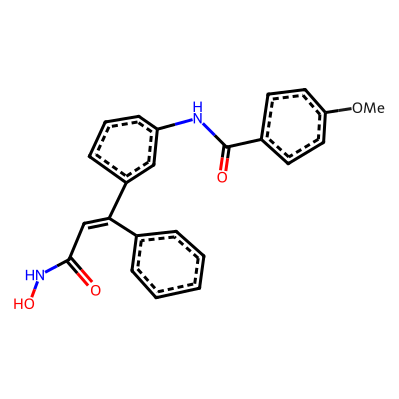 COc1ccc(C(=O)Nc2cccc(C(=CC(=O)NO)c3ccccc3)c2)cc1